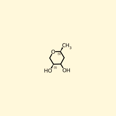 C[C@H]1CC(O)[C@@H](O)CO1